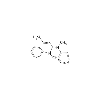 CN(c1ccccc1)C(C=C[SiH3])N(C)c1ccccc1